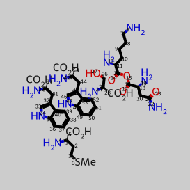 CSCC[C@H](N)C(=O)O.NCCCC[C@H](N)C(=O)OC(=O)[C@@H](N)CC(N)=O.N[C@@H](CO)C(=O)O.N[C@@H](Cc1c[nH]c2ccccc12)C(=O)O.N[C@@H](Cc1c[nH]c2ccccc12)C(=O)O